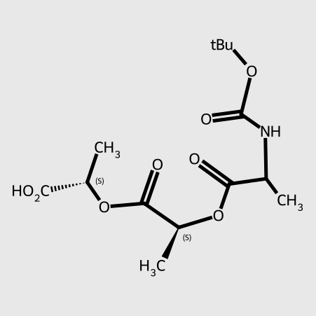 CC(NC(=O)OC(C)(C)C)C(=O)O[C@@H](C)C(=O)O[C@@H](C)C(=O)O